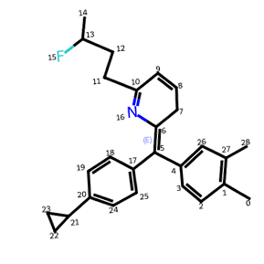 Cc1ccc(/C(=C2\CC=CC(CCC(C)F)=N2)c2ccc(C3CC3)cc2)cc1C